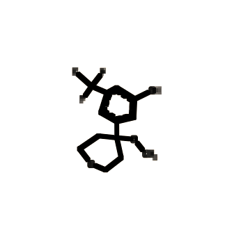 COC1(c2cc(O)cc(C(F)(F)F)c2)CCOCC1